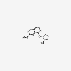 CSc1ncc2ccnc(OC3CCCC3O)c2n1